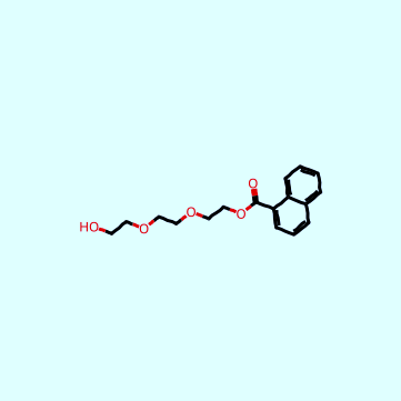 O=C(OCCOCCOCCO)c1cccc2ccccc12